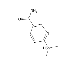 [CH3][SnH]([CH3])[c]1ccc(C(N)=O)cn1